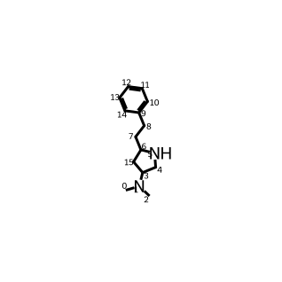 CN(C)C1CNC(CCc2ccccc2)C1